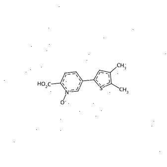 Cc1cc(-c2ccc(C(=O)O)[n+]([O-])c2)sc1C